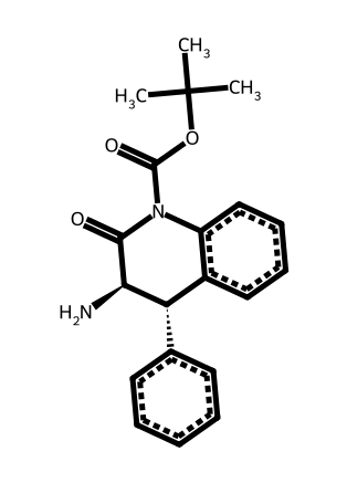 CC(C)(C)OC(=O)N1C(=O)[C@H](N)[C@@H](c2ccccc2)c2ccccc21